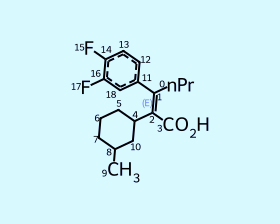 CCC/C(=C(\C(=O)O)C1CCCC(C)C1)c1ccc(F)c(F)c1